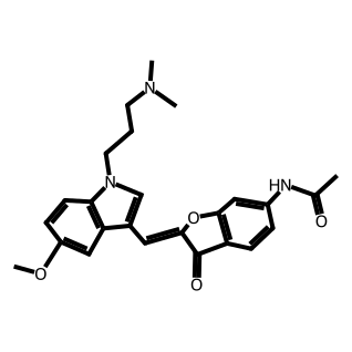 COc1ccc2c(c1)c(/C=C1\Oc3cc(NC(C)=O)ccc3C1=O)cn2CCCN(C)C